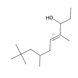 CCC(O)/C(C)=C/CC(C)CC(C)(C)C